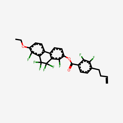 C=CCCc1ccc(C(=O)Oc2ccc3c(c2F)C(F)(F)C(F)(F)c2c-3ccc(OCC)c2F)c(F)c1F